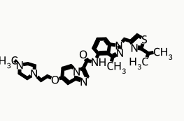 Cc1nn(Cc2csc(C(C)C)n2)c2cccc(NC(=O)c3cnc4cc(OCCN5CCN(C)CC5)ccn34)c12